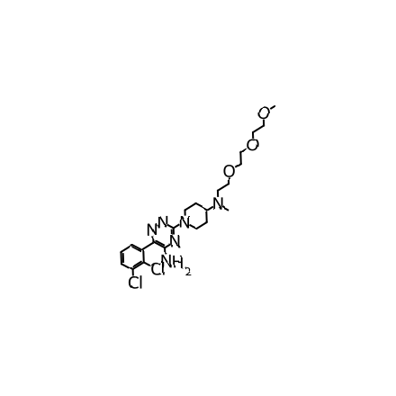 COCCOCCOCCN(C)C1CCN(c2nnc(-c3cccc(Cl)c3Cl)c(N)n2)CC1